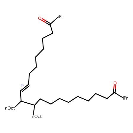 CCCCCCCCC(/C=C/CCCCCCC(=O)C(C)C)C(CCCCCCCC)CCCCCCCCC(=O)C(C)C